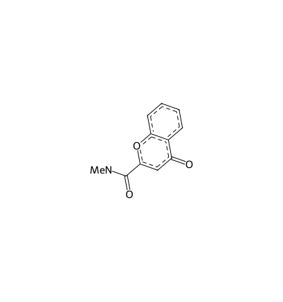 CNC(=O)c1cc(=O)c2ccccc2o1